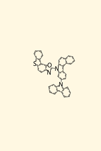 c1ccc2c(c1)ccc1c2c2ccc(-n3c4ccccc4c4ccccc43)cc2n1-c1nc2ccc3sc4ccccc4c3c2o1